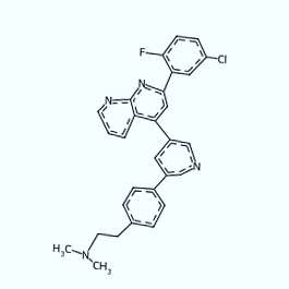 CN(C)CCc1ccc(-c2cncc(-c3cc(-c4cc(Cl)ccc4F)nc4ncccc34)c2)cc1